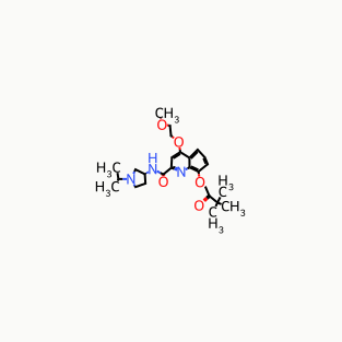 COCCOc1cc(C(=O)N[C@H]2CCN(C(C)C)C2)nc2c(OCC(=O)C(C)(C)C)cccc12